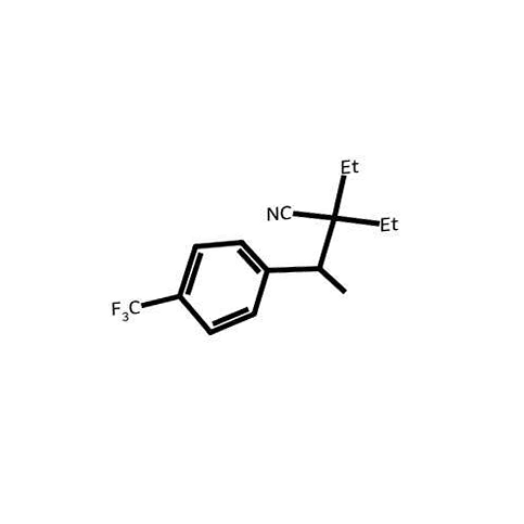 CCC(C#N)(CC)C(C)c1ccc(C(F)(F)F)cc1